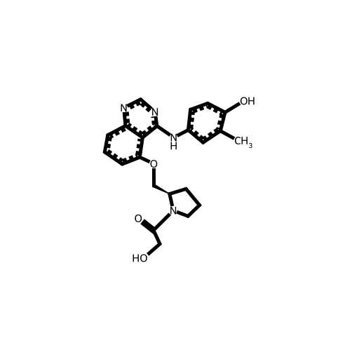 Cc1cc(Nc2ncnc3cccc(OC[C@H]4CCCN4C(=O)CO)c23)ccc1O